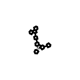 c1ccc(-c2ccc3c(c2)c2cc(-c4ccc(-c5cc6ccccc6c6ccccc56)cc4)ccc2n3-c2ccccc2)cc1